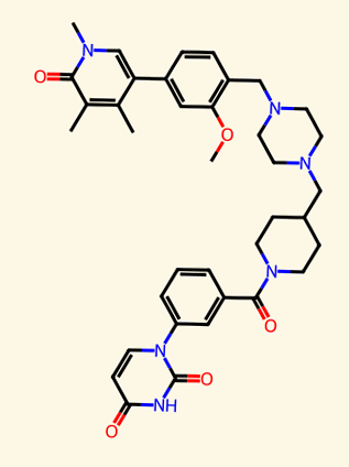 COc1cc(-c2cn(C)c(=O)c(C)c2C)ccc1CN1CCN(CC2CCN(C(=O)c3cccc(-n4ccc(=O)[nH]c4=O)c3)CC2)CC1